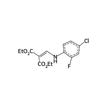 CCOC(=O)C(=CNc1ccc(Cl)cc1F)C(=O)OCC